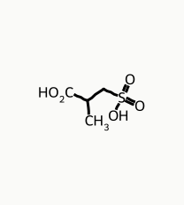 CC(CS(=O)(=O)O)C(=O)O